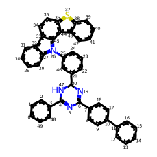 c1ccc(C2=NC(c3ccc(-c4ccccc4)cc3)=NC(c3cccc(-n4c5ccccc5c5ccc6sc7ccccc7c6c54)c3)N2)cc1